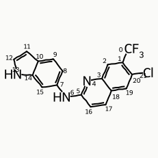 FC(F)(F)c1cc2nc(Nc3ccc4cc[nH]c4c3)ccc2cc1Cl